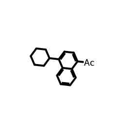 CC(=O)c1ccc(C2CCCCC2)c2ccccc12